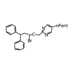 CCCCCc1cnc(CCC(Br)CC(c2ccccc2)c2ccccc2)nc1